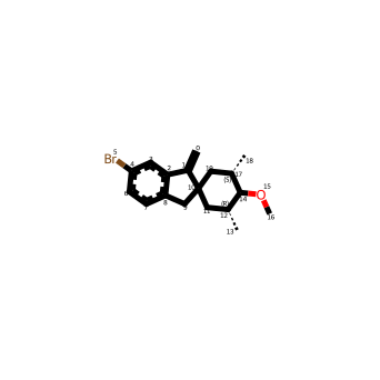 C=C1c2cc(Br)ccc2CC12C[C@@H](C)C(OC)[C@@H](C)C2